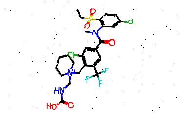 CCS(=O)(=O)c1ccc(Cl)cc1N(C)C(=O)c1cc(Cl)c(C[N+]2(CNC(=O)O)CCCCC2)c(C(F)(F)F)c1